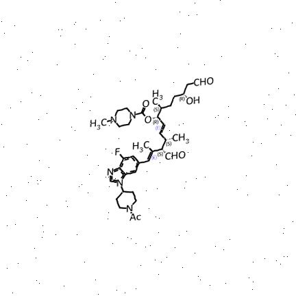 CC(=O)N1CCC(n2cnc3c(F)cc(/C=C(\C)[C@@H](C=O)[C@@H](C)/C=C/[C@H](OC(=O)N4CCN(C)CC4)[C@@H](C)CC[C@@H](O)CC=O)cc32)CC1